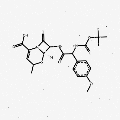 COc1ccc(C(NC(=O)OC(C)(C)C)C(=O)NC2C(=O)N3C(C(=O)O)=CC(C)S[C@H]23)cc1